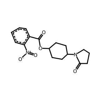 O=C(OC1CCC(N2CCCC2=O)CC1)c1ccccc1[N+](=O)[O-]